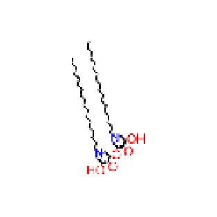 CCCCCCCCCCCCCCCCCCn1cc(O)c(=O)c(Oc2cn(CCCCCCCCCCCCCCCCCC)cc(O)c2=O)c1